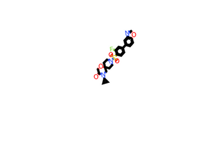 O=C1COC2(CCN(S(=O)(=O)c3ccc(-c4ccc5ocnc5c4)cc3F)CC2)CN1C1CC1